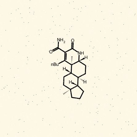 CCCCC1=C(C(N)=O)C(=O)N[C@@H]2CC[C@H]3[C@@H]4CCC[C@@]4(C)CC[C@@H]3[C@@]12C